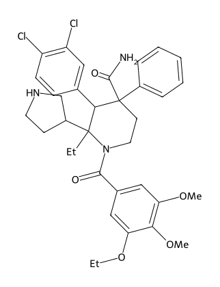 CCOc1cc(C(=O)N2CCC(C(N)=O)(c3ccccc3)C(c3ccc(Cl)c(Cl)c3)C2(CC)C2CCNC2)cc(OC)c1OC